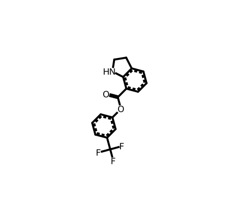 O=C(Oc1cccc(C(F)(F)F)c1)c1cccc2c1NCC2